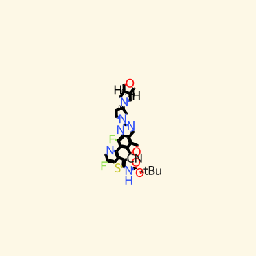 CC(C)(C)OC(=O)Nc1sc2c(F)cnc(-c3c4c(c5cnc(N6CC[C@@H](N7C[C@H]8COC[C@H]8C7)C6)nc5c3F)COC4)c2c1C#N